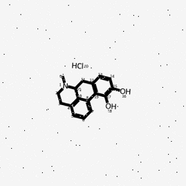 CN1CCc2cccc3c2C1Cc1ccc(O)c(O)c1-3.Cl